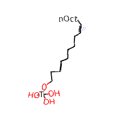 CCCCCCCC/C=C\CCCCCCCC[O][Ti]([OH])([OH])[OH]